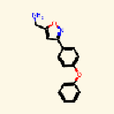 NCc1cc(-c2ccc(Oc3ccccc3)cc2)no1